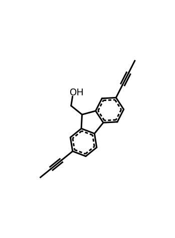 CC#Cc1ccc2c(c1)C(CO)c1cc(C#CC)ccc1-2